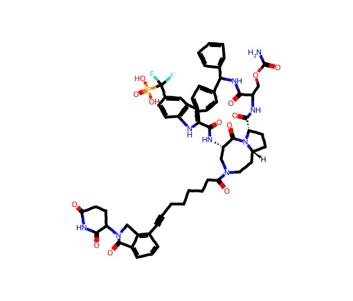 NC(=O)OCC(NC(=O)[C@@H]1CC[C@@H]2CCN(C(=O)CCCCCC#Cc3cccc4c3CN(C3CCC(=O)NC3=O)C4=O)C[C@H](NC(=O)c3cc4cc(C(F)(F)P(=O)(O)O)ccc4[nH]3)C(=O)N21)C(=O)NC(c1ccccc1)c1ccccc1